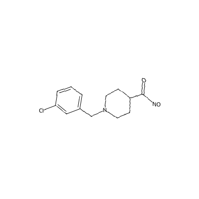 O=NC(=O)C1CCN(Cc2cccc(Cl)c2)CC1